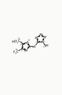 CC(C)n1nnnc1Sc1nc(C(F)(F)F)c(C(=O)O)s1